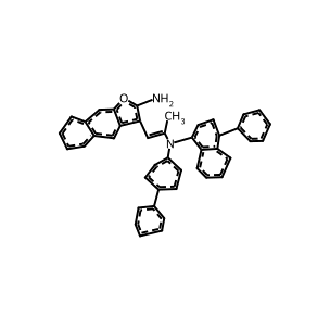 C/C(=C\c1c(N)oc2cc3ccccc3cc12)N(c1ccc(-c2ccccc2)cc1)c1ccc(-c2ccccc2)c2ccccc12